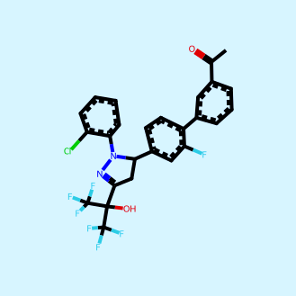 CC(=O)c1cccc(-c2ccc(C3CC(C(O)(C(F)(F)F)C(F)(F)F)=NN3c3ccccc3Cl)cc2F)c1